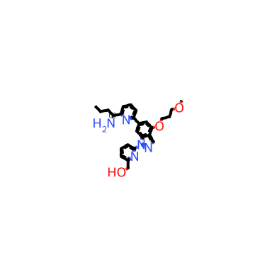 CCC[C@H](N)c1cccc(-c2cc(OCCCOC)c3cnn(-c4cccc(CO)n4)c3c2)n1